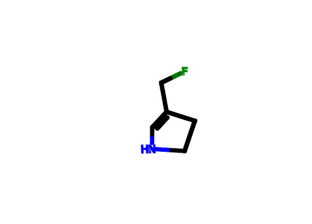 FCC1=CNCC1